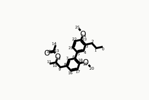 CCCc1cc(-c2cc(CC(C)OC(C)=O)ccc2OC)ccc1OC